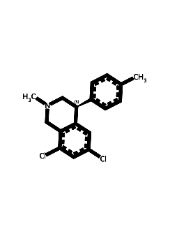 Cc1ccc([C@@H]2CN(C)Cc3c(Cl)cc(Cl)cc32)cc1